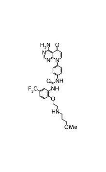 COCCCNCCOc1ccc(C(F)(F)F)cc1NC(=O)Nc1ccc(-n2ccc(=O)c3c(N)ncnc32)cc1